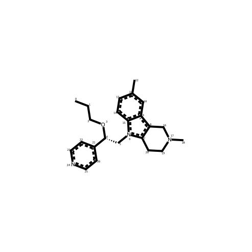 CCCO[C@H](Cn1c2c(c3cc(C)ccc31)CN(C)CC2)c1ccncc1